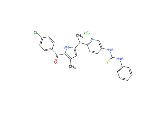 Cc1cc(C(C)c2ccc(NC(=S)Nc3ccccc3)cn2)[nH]c1C(=O)c1ccc(Cl)cc1.Cl